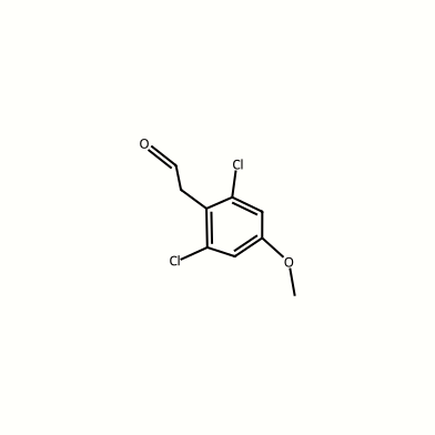 COc1cc(Cl)c(CC=O)c(Cl)c1